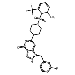 CC1C=CC=C(C(F)(F)F)C1S(=O)(=O)N1CCC(c2nc3n(Cc4cccc(F)c4)[nH]nc-3c(=O)n2)CC1